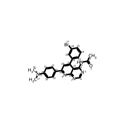 CC(=O)Nc1ncnc2nc(-c3ccc(N(C)C)cc3)cc(-c3cccc(Br)c3)c12